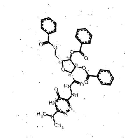 CN(C)c1nnc(NNC(=O)[C@@H]2O[C@H](COC(=O)c3ccccc3)[C@@H](OC(=O)c3ccccc3)[C@H]2OC(=O)c2ccccc2)c(=O)[nH]1